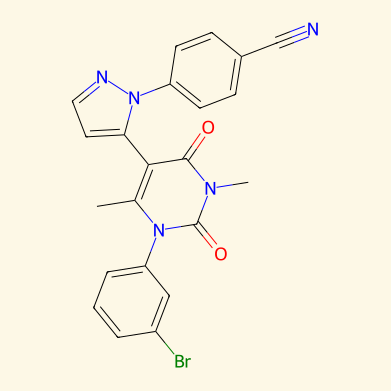 Cc1c(-c2ccnn2-c2ccc(C#N)cc2)c(=O)n(C)c(=O)n1-c1cccc(Br)c1